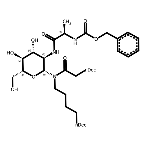 CCCCCCCCCCCCCCN(C(=O)CCCCCCCCCCC)[C@@H]1O[C@H](CO)[C@@H](O)[C@H](O)[C@H]1NC(=O)[C@@H](C)NC(=O)OCc1ccccc1